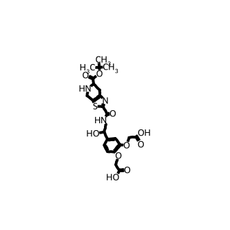 CC(C)(C)OC(=O)C1Cc2nc(C(=O)NCC(O)c3ccc(OCC(=O)O)c(OCC(=O)O)c3)sc2CN1